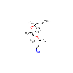 CC(C)(CCN)OCC(C)(C)OC(C)(C)CCC=O